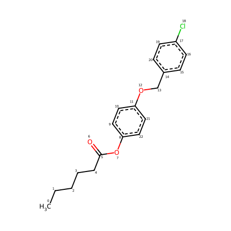 CCCCCC(=O)Oc1ccc(OCc2ccc(Cl)cc2)cc1